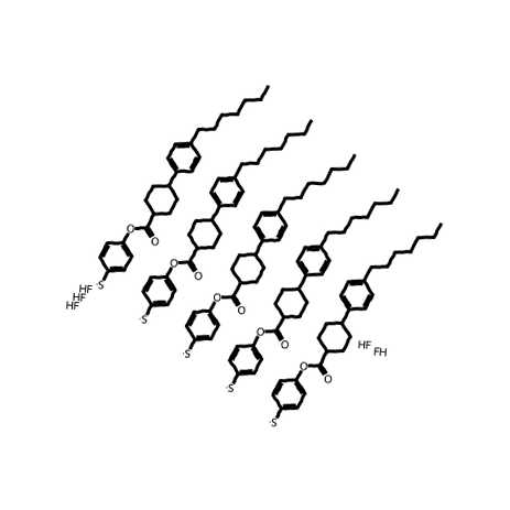 CCCCCCCc1ccc(C2CCC(C(=O)Oc3ccc([S])cc3)CC2)cc1.CCCCCCCc1ccc(C2CCC(C(=O)Oc3ccc([S])cc3)CC2)cc1.CCCCCCCc1ccc(C2CCC(C(=O)Oc3ccc([S])cc3)CC2)cc1.CCCCCCCc1ccc(C2CCC(C(=O)Oc3ccc([S])cc3)CC2)cc1.CCCCCCCc1ccc(C2CCC(C(=O)Oc3ccc([S])cc3)CC2)cc1.F.F.F.F.F